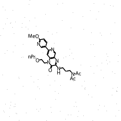 CCCOCCn1c(=O)c(NCCCN(C(C)=O)C(C)=O)nc2cnc(-c3ccc(OC)nc3)cc21